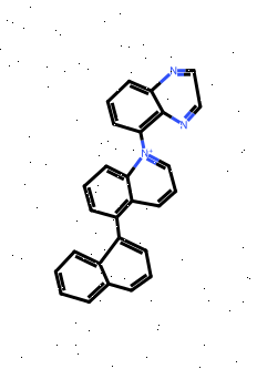 c1ccc2c(-c3cccc4c3ccc[n+]4-c3cccc4nccnc34)cccc2c1